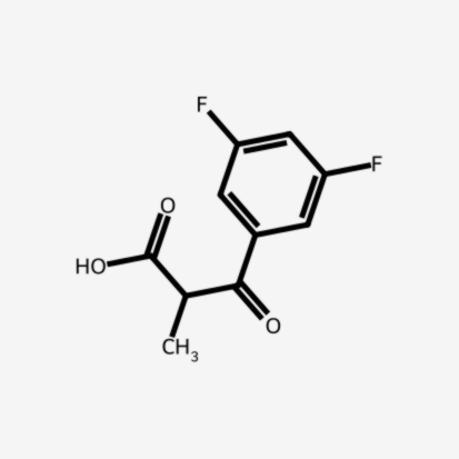 CC(C(=O)O)C(=O)c1cc(F)cc(F)c1